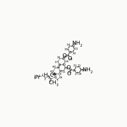 CC(C)CCCC(C)C1CCC2C3CC(OC(=O)c4ccc(N)cc4)C4CC(OC(=O)c5ccc(N)cc5)CCC4C3CC[C@@]12C